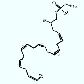 CC/C=C\C/C=C\C/C=C\C/C=C\C/C=C\C/C=C\CC(CC)COP(=O)(O)OC(C)(C)C